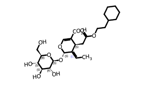 C/C=C1/[C@H](O[C@@H]2O[C@H](CO)[C@@H](O)[C@H](O)[C@H]2O)OC=C(C(=O)O)[C@H]1CC(=O)OCCC1CCCCC1